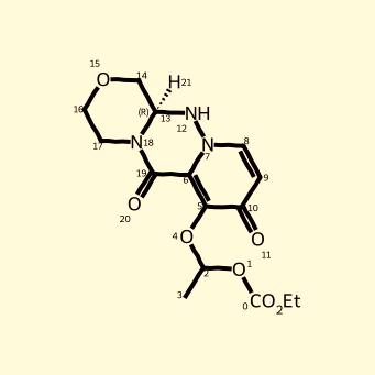 CCOC(=O)OC(C)Oc1c2n(ccc1=O)N[C@@H]1COCCN1C2=O